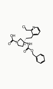 O=C(N[C@@]1(CCc2cccnc2CCl)CCN(C(=O)O)C1)OCc1ccccc1